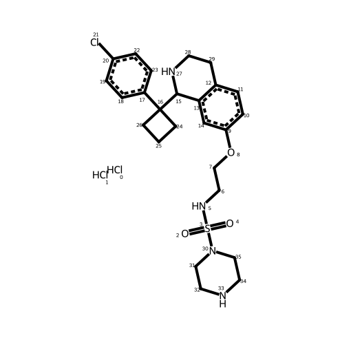 Cl.Cl.O=S(=O)(NCCOc1ccc2c(c1)C(C1(c3ccc(Cl)cc3)CCC1)NCC2)N1CCNCC1